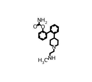 CNCCN1CCC(c2ccccc2-c2ccccc2OC(N)=O)CC1